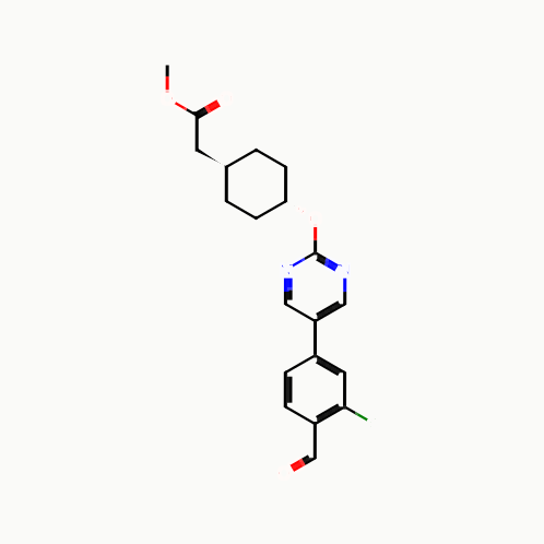 COC(=O)C[C@H]1CC[C@H](Oc2ncc(-c3ccc(C=O)c(Cl)c3)cn2)CC1